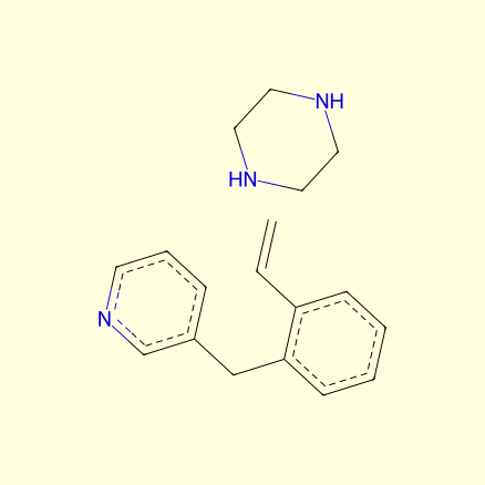 C1CNCCN1.C=Cc1ccccc1Cc1cccnc1